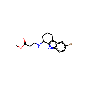 COC(=O)CCNC1CCCc2c1[nH]c1ccc(Br)cc21